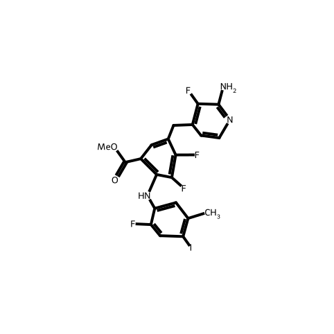 COC(=O)c1cc(Cc2ccnc(N)c2F)c(F)c(F)c1Nc1cc(C)c(I)cc1F